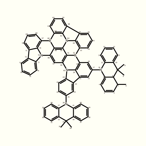 CC1C=CC=C2C1C(C)(C)c1ccccc1N2c1cc2c3c(c1)c1cc(N4c5ccccc5C(C)(C)c5ccccc54)ccc1n3-c1cc3c4c5c1B2c1cccc2c6cccc(c6n-5c12)B4c1cccc2c4ccccc4n-3c12